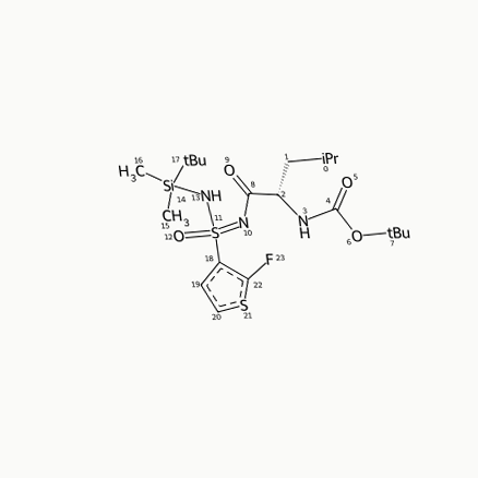 CC(C)C[C@H](NC(=O)OC(C)(C)C)C(=O)N=S(=O)(N[Si](C)(C)C(C)(C)C)c1ccsc1F